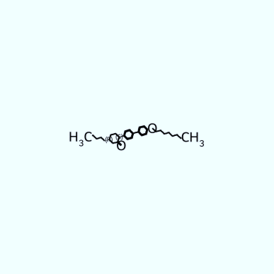 CCCCCCCCOc1ccc(-c2ccc([C@@H]3CC[C@@H](CCCCC)CC3=O)cc2)cc1